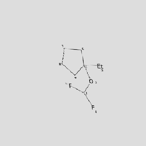 CCC1(O[C](F)F)CCCC1